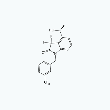 C[C@H](O)c1cccc2c1C(F)(F)C(=O)N2Cc1cccc(C(F)(F)F)c1